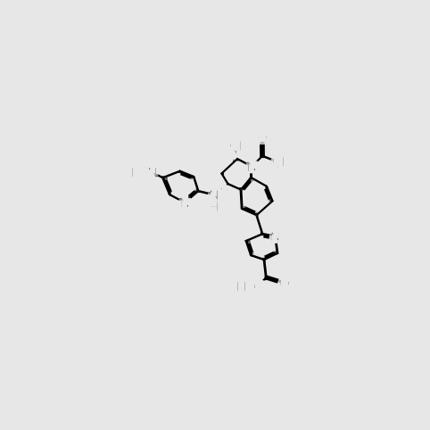 CC(=O)c1ccc(-c2ccc3c(c2)[C@H](Nc2ccc(N)cn2)C[C@H](C)N3C(C)=O)nc1